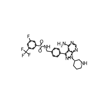 Nc1ncnc2c1c(-c1ccc(CNS(=O)(=O)c3cc(F)cc(C(F)(F)F)c3)cc1)nn2[C@@H]1CCCNC1